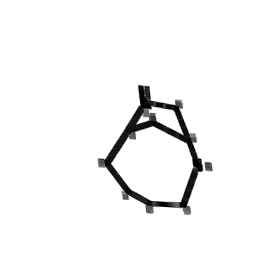 C1CCC2CC(CN2)SC1